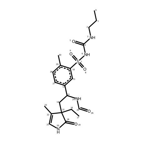 CCCNC(=O)NS(=O)(=O)c1cc(C(CC2(CC)C(=O)NC=C2C)NC=O)ccc1C